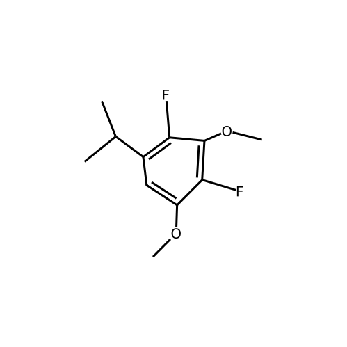 COc1cc(C(C)C)c(F)c(OC)c1F